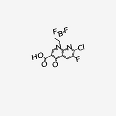 CCn1cc(C(=O)O)c(=O)c2cc(F)c(Cl)nc21.F[B]F